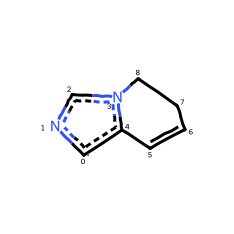 [c]1ncn2c1C=CCC2